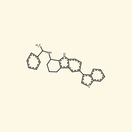 CC(NC1CCCc2c1[nH]c1ccc(-c3csc4ccccc34)cc21)c1ccccc1